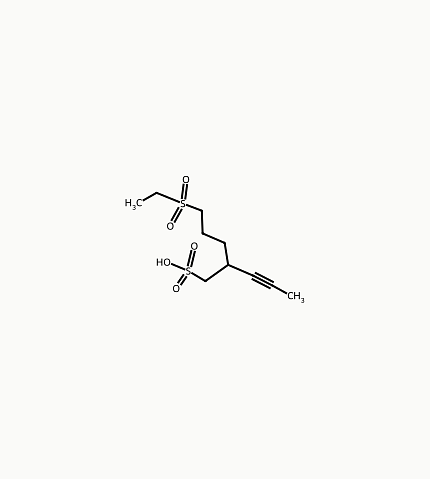 CC#CC(CCCS(=O)(=O)CC)CS(=O)(=O)O